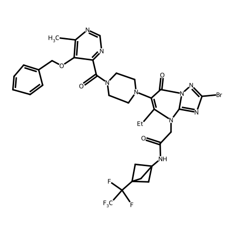 CCc1c(N2CCN(C(=O)c3ncnc(C)c3OCc3ccccc3)CC2)c(=O)n2nc(Br)nc2n1CC(=O)NC12CC(C(F)(F)C(F)(F)F)(C1)C2